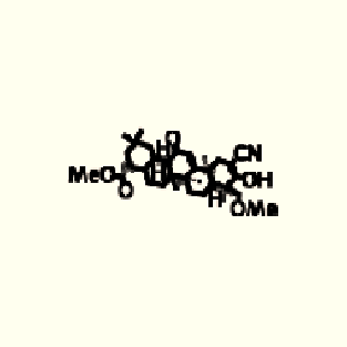 COC[C@]1(C)C(O)=C(C#N)C[C@]2(C)C3=CC(=O)[C@@H]4[C@@H]5CC(C)(C)C[C@@H](C(=O)OC)C5CC[C@@]4(C)[C@]3(C)CC[C@H]21